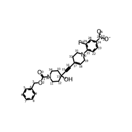 O=C(OCc1ccccc1)N1CCC(O)(C#CC2=CCN(c3ccc([N+](=O)[O-])cc3F)CC2)CC1